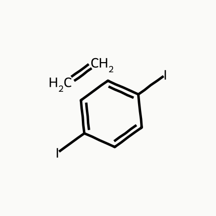 C=C.Ic1ccc(I)cc1